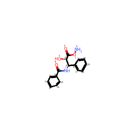 NOC(=O)[C@H](O)[C@@H](NC(=O)c1ccccc1)c1ccccc1